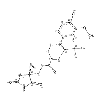 COc1cc(N2CCN(C(=O)CC[C@@]3(C)NC(=O)NC3=O)CC2C(F)(F)F)ccc1Cl